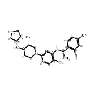 C[C@@H](Nc1nc(N2CCC(O[C@@H]3CNC[C@@H]3F)CC2)ncc1Cl)c1ccc(Cl)cc1Cl